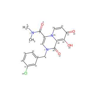 CN(C)C(=O)c1cn(Cc2cccc(Cl)c2)c(=O)c2c(O)c(=O)ccn12